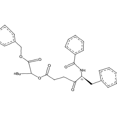 CCCCC(OC(=O)CCC(=O)[C@H](Cc1ccccc1)NC(=O)c1ccccc1)C(=O)OCc1ccccc1